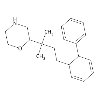 CC(C)(CCC1C=CC=CC1c1ccccc1)C1CNCCO1